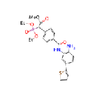 CCOP(=O)(OCC)C(C(=O)OC)c1ccc(C(=O)Nc2cc(-c3cccs3)ccc2N)cc1